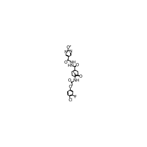 COc1ncc(C(=O)NNC(=O)C23CCC(NC(=O)COc4ccc(Cl)c(F)c4)(CC2)C(=O)C3)cn1